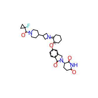 O=C1CCC(N2Cc3cc(O[C@@H]4CCCC[C@@H]4N4CC(C5CCN(C(=O)C6(F)CC6)CC5)C4)ccc3C2=O)C(=O)N1